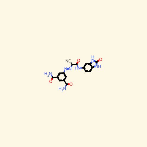 N#CC(N=Nc1cc(C(N)=O)cc(C(N)=O)c1)C(=O)Nc1ccc2[nH]c(=O)[nH]c2c1